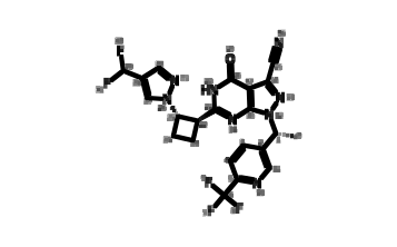 C[C@H](c1ccc(C(F)(F)F)nc1)n1nc(C#N)c2c(=O)[nH]c([C@H]3CC[C@@H]3n3cc(C(F)F)cn3)nc21